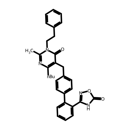 CCCCc1nc(C)n(CCc2ccccc2)c(=O)c1Cc1ccc(-c2ccccc2-c2noc(=O)[nH]2)cc1